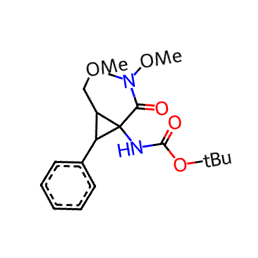 COCC1C(c2ccccc2)C1(NC(=O)OC(C)(C)C)C(=O)N(C)OC